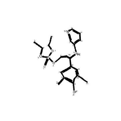 CCOP(=O)(OCC)OCC(Nc1cccnc1)c1cc(C)c(O)c(C)c1